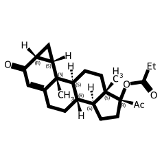 CCC(=O)O[C@]1(C(C)=O)CC[C@H]2[C@@H]3CCC4=CC(=O)[C@@H]5C[C@@H]5[C@]4(C)[C@H]3CC[C@@]21C